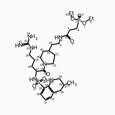 CCOP(=O)(CCC(=O)NCCC1CCN(C(=O)C(CCCNC(=N)N)NS(=O)(=O)c2cccc3c2NC[C@@H](C)C3)CC1)OCC